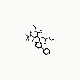 CCOC(=O)CC1C(C(=O)OCC)=C(NC(C)=O)Oc2ccc(-c3ccccc3)cc21